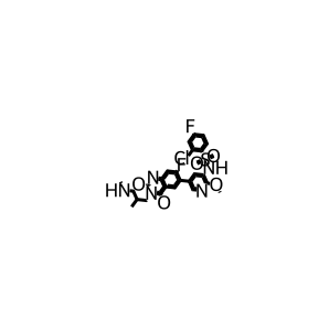 CNC(=O)C(C)Cn1cnc2cc(F)c(-c3cnc(OC)c(NS(=O)(=O)c4ccc(F)cc4Cl)c3)cc2c1=O